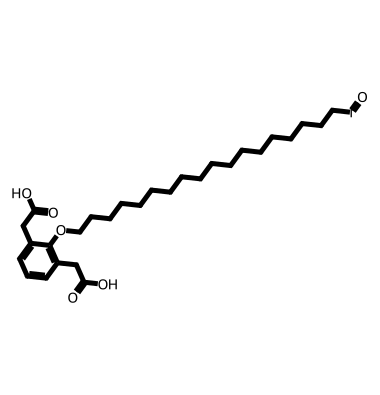 O=ICCCCCCCCCCCCCCCCCCOc1c(CC(=O)O)cccc1CC(=O)O